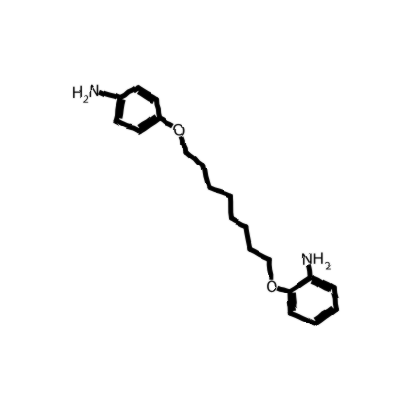 Nc1ccc(OCCCCCCCCOc2ccccc2N)cc1